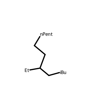 [CH2]C(CC)CC(CC)CCCCCCC